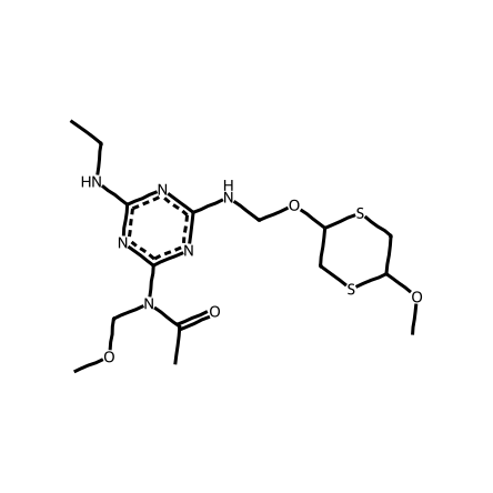 CCNc1nc(NCOC2CSC(OC)CS2)nc(N(COC)C(C)=O)n1